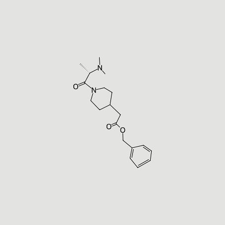 C[C@@H](C(=O)N1CCC(CC(=O)OCc2ccccc2)CC1)N(C)C